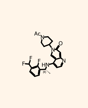 CC(=O)N1CCC(n2cc3c(N[C@H](C)c4cccc(C(F)F)c4F)ccnc3cc2=O)CC1